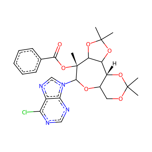 CC1(C)OC2C(O1)[C@@](C)(OC(=O)c1ccccc1)C(n1cnc3c(Cl)ncnc31)OC1COC(C)(C)O[C@H]12